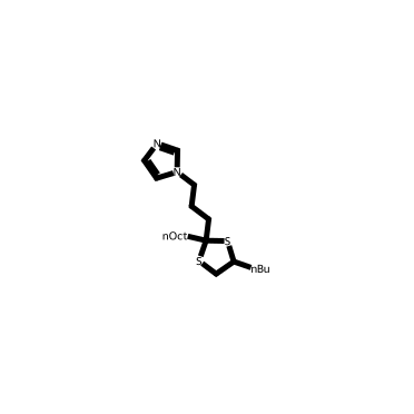 CCCCCCCCC1(CCCn2ccnc2)SCC(CCCC)S1